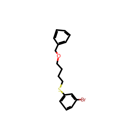 Brc1cccc(SCCCCOCc2ccccc2)c1